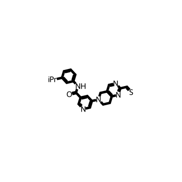 CC(C)c1cccc(NC(=O)c2cncc(N3CCc4nc(C=S)ncc4C3)c2)c1